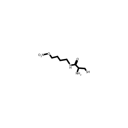 NC(CS)C(=O)NCCCCO[N+](=O)[O-]